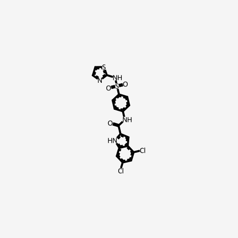 O=C(Nc1ccc(S(=O)(=O)Nc2nccs2)cc1)c1cc2c(Cl)cc(Cl)cc2[nH]1